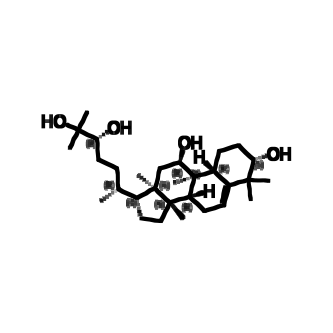 C[C@H](CC[C@@H](O)C(C)(C)O)[C@H]1CC[C@@]2(C)[C@H]3CC=C4[C@@H](CC[C@H](O)C4(C)C)[C@]3(C)[C@H](O)C[C@]12C